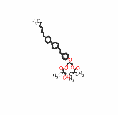 C=C(C)C(=O)OCC(COC(=O)C(=C)CO)Oc1ccc(CCC2CCC(C3CCC(CCCCCCC)CC3)CC2)cc1